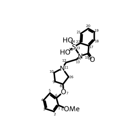 COc1ccccc1OC1CCN(CCN2C(=O)c3ccccc3S2(O)O)C1